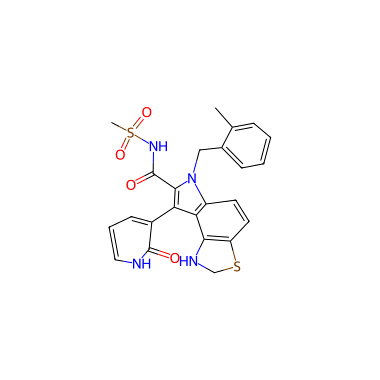 Cc1ccccc1Cn1c(C(=O)NS(C)(=O)=O)c(-c2ccc[nH]c2=O)c2c3c(ccc21)SCN3